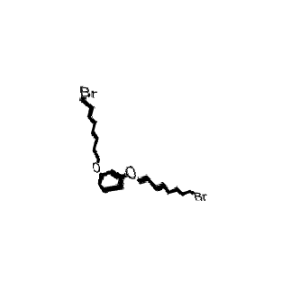 BrCCCCCCCCOc1cccc(OCCCCCCCCBr)c1